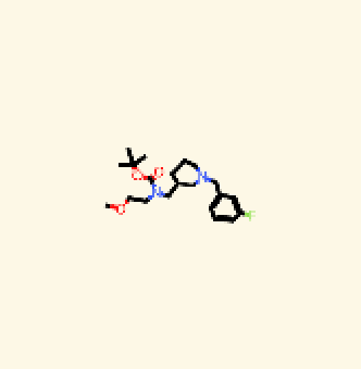 COCCN(CC1CCCN(Cc2cccc(F)c2)C1)C(=O)OC(C)(C)C